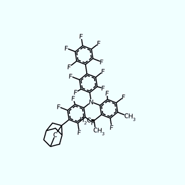 C=C(C)c1c(F)c(C)c(F)c(F)c1N(c1c(F)c(F)c(-c2c(F)c(F)c(F)c(F)c2F)c(F)c1F)c1c(F)c(F)c(C23CC4CC(CC2C4)C3)c(F)c1F